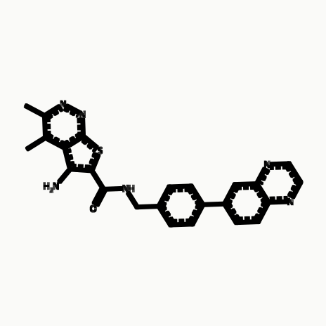 Cc1nnc2sc(C(=O)NCc3ccc(-c4ccc5nccnc5c4)cc3)c(N)c2c1C